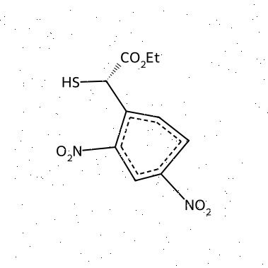 CCOC(=O)[C@@H](S)c1ccc([N+](=O)[O-])cc1[N+](=O)[O-]